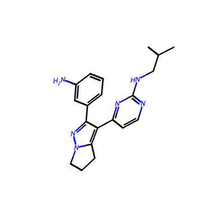 CC(C)CNc1nccc(-c2c(-c3cccc(N)c3)nn3c2CCC3)n1